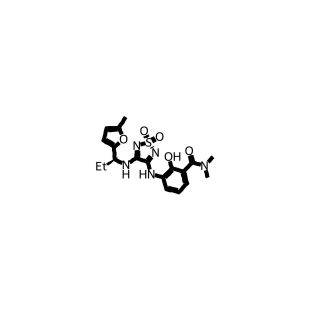 CC[C@H](NC1=NS(=O)(=O)N=C1Nc1cccc(C(=O)N(C)C)c1O)c1ccc(C)o1